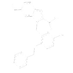 Cc1ccc(OCc2ccccc2)c(Cn2c(C(N)=O)nc3ccc(C=O)cc32)n1